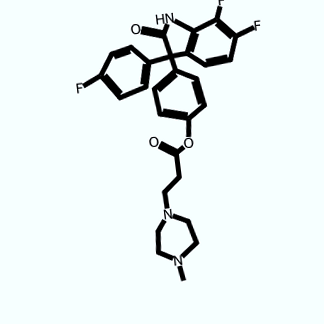 CN1CCN(CCC(=O)Oc2ccc(C3(c4ccc(F)cc4)C(=O)Nc4c3ccc(F)c4F)cc2)CC1